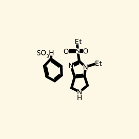 CCn1c(S(=O)(=O)CC)nc2c1CNC2.O=S(=O)(O)c1ccccc1